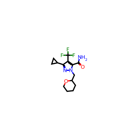 NC(=O)c1c(C(F)(F)F)c(C2CC2)nn1CC1CCCCO1